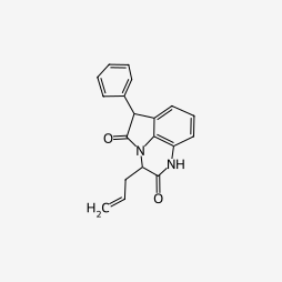 C=CCC1C(=O)Nc2cccc3c2N1C(=O)C3c1ccccc1